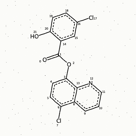 O=C(Oc1ccc(Cl)c2cccnc12)c1cc(Cl)ccc1O